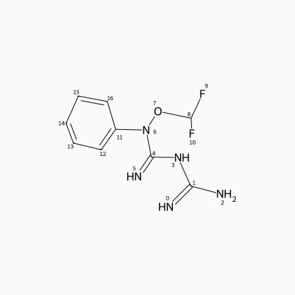 N=C(N)NC(=N)N(OC(F)F)c1ccccc1